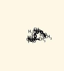 CCCCN(C(=O)Nc1cc(C(N)=O)c(F)cc1F)C1CCN(Cc2ccc(Oc3ccc(CNS(C)(=O)=O)cc3)nc2C(C)C)CC1